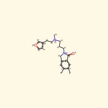 Cc1cc2c(cc1C)C(=O)N(CCCN(C)CCc1ccoc1)C2